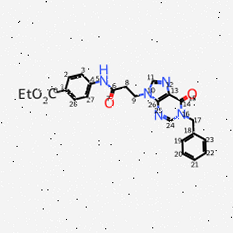 CCOC(=O)c1ccc(NC(=O)CCn2cnc3c(=O)n(Cc4ccccc4)cnc32)cc1